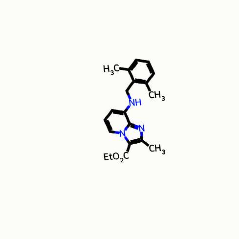 CCOC(=O)c1c(C)nc2c(NCc3c(C)cccc3C)cccn12